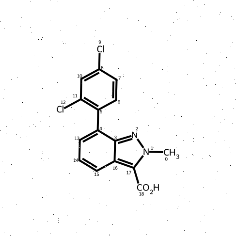 Cn1nc2c(-c3ccc(Cl)cc3Cl)cccc2c1C(=O)O